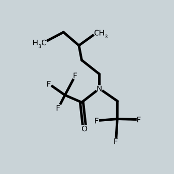 CCC(C)CCN(CC(F)(F)F)C(=O)C(F)(F)F